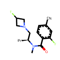 CC(C)[C@@H](CN1CC(F)C1)N(C)C(=O)c1ccc(C#N)cc1F